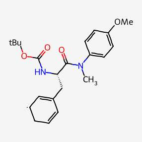 COc1ccc(N(C)C(=O)[C@H](CC2=C[CH]CC=C2)NC(=O)OC(C)(C)C)cc1